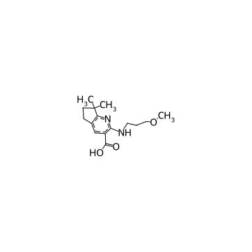 COCCCNc1nc2c(cc1C(=O)O)CCC2(C)C